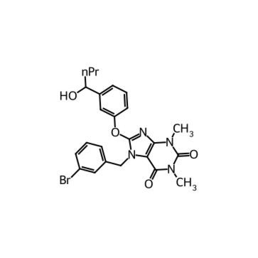 CCCC(O)c1cccc(Oc2nc3c(c(=O)n(C)c(=O)n3C)n2Cc2cccc(Br)c2)c1